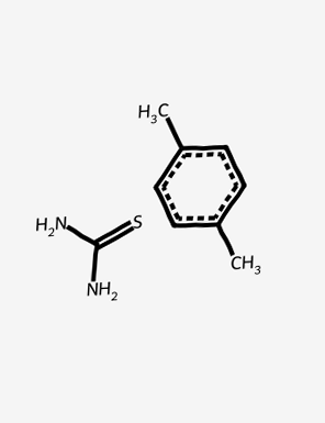 Cc1ccc(C)cc1.NC(N)=S